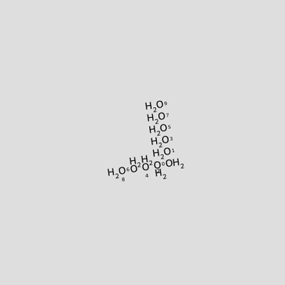 O.O.O.O.O.O.O.O.O.O